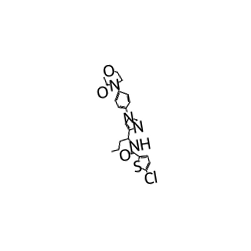 CCCC(NC(=O)c1ccc(Cl)s1)c1cn(-c2ccc(N3CCOCC3=O)cc2)cn1